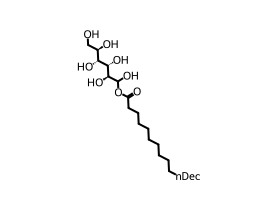 CCCCCCCCCCCCCCCCCCCC(=O)OC(O)[C@@H](O)[C@@H](O)[C@H](O)[C@H](O)CO